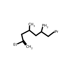 C=C(CC)CC(C)CC(P)CC(C)C